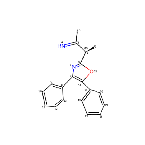 [CH2][C@H](C(C)=N)c1nc(-c2ccccc2)c(-c2ccccc2)o1